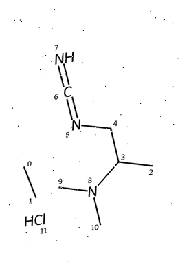 CC.CC(CN=C=N)N(C)C.Cl